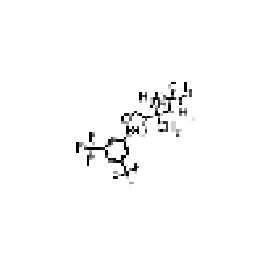 CC(C)(C)CC(C)(C)C1COB(c2cc(C(F)(F)F)cc(C(F)(F)F)c2)O1